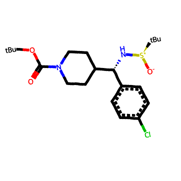 CC(C)(C)OC(=O)N1CCC([C@H](N[S@+]([O-])C(C)(C)C)c2ccc(Cl)cc2)CC1